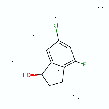 O[C@@H]1CCc2c(F)cc(Cl)cc21